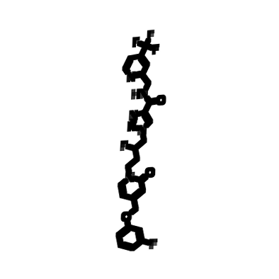 O=C(NCc1cc(C(F)(F)F)ccn1)c1cn(CC(F)CCn2ccc(COc3cccc(F)c3)cc2=O)nn1